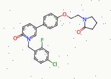 O=C1CCCN1CCOc1ccc(-c2ccc(=O)n(Cc3ccc(Cl)cc3F)c2)cc1